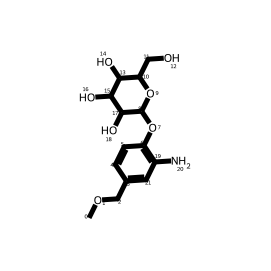 COCc1ccc(OC2OC(CO)C(O)C(O)C2O)c(N)c1